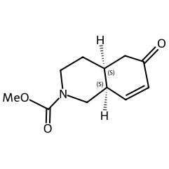 COC(=O)N1CC[C@H]2CC(=O)C=C[C@H]2C1